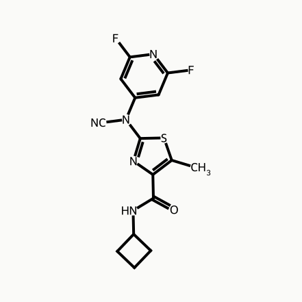 Cc1sc(N(C#N)c2cc(F)nc(F)c2)nc1C(=O)NC1CCC1